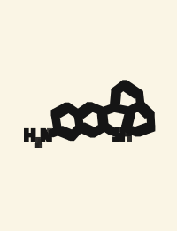 Nc1ccc2cc(-c3cccc4ccccc34)c(S)cc2c1